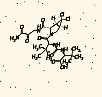 CC(C)(C)[C@H](NC(=O)N[C@H](C(=O)N1C[C@H]2[C@@H]([C@H]1C(=O)NCC(=O)C(N)=O)C2(Cl)Cl)C(C)(C)C)C(=O)O